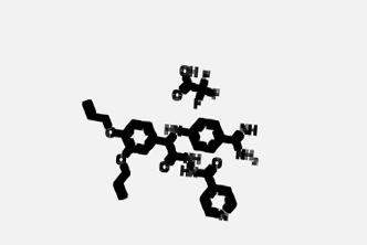 C=CCOc1ccc(C(Nc2ccc(C(=N)N)cc2)C(=O)NNC(=O)c2ccncc2)cc1OCC=C.O=C(O)C(F)(F)F